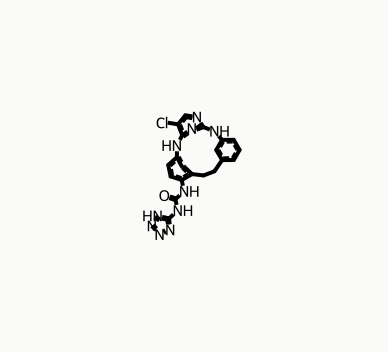 O=C(Nc1nnn[nH]1)Nc1ccc2cc1CCc1cccc(c1)Nc1ncc(Cl)c(n1)N2